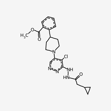 COC(=O)c1ccccc1C1CCN(c2cnnc(NNC(=O)CC3CC3)c2Cl)CC1